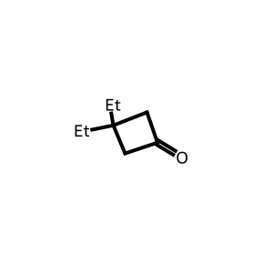 CCC1(CC)CC(=O)C1